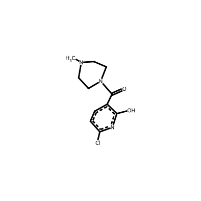 CN1CCN(C(=O)c2ccc(Cl)nc2O)CC1